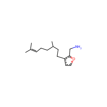 CC(C)=CCCC(C)CCc1ccoc1CN